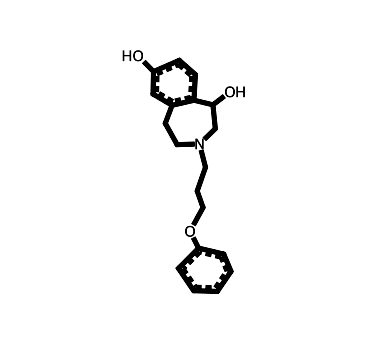 Oc1ccc2c(c1)CCN(CCCOc1ccccc1)CC2O